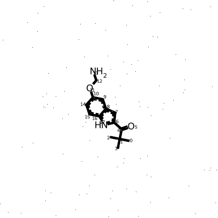 CC(C)(C)C(=O)c1cc2cc(OCN)ccc2[nH]1